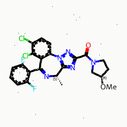 CO[C@@H]1CCN(C(=O)c2nc3n(n2)-c2ccc(Cl)c(Cl)c2C(c2c(F)cccc2F)=N[C@H]3C)C1